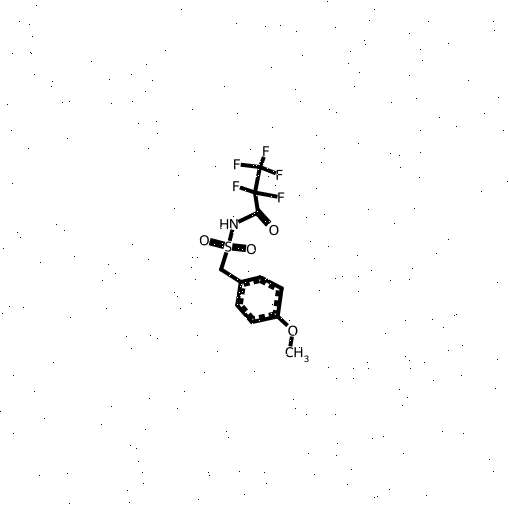 COc1ccc(CS(=O)(=O)NC(=O)C(F)(F)C(F)(F)F)cc1